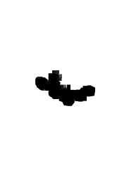 COc1c(CN2CCOCC2)cc(C(F)(F)F)cc1NC(=O)c1cc2cccc(Oc3ccnc(CN4CCCC4)c3)c2n1C